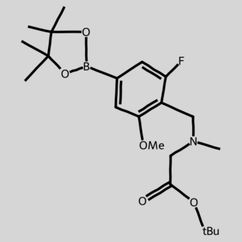 COc1cc(B2OC(C)(C)C(C)(C)O2)cc(F)c1CN(C)CC(=O)OC(C)(C)C